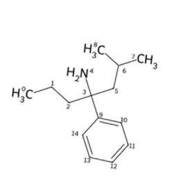 CCCC(N)(CC(C)C)c1ccccc1